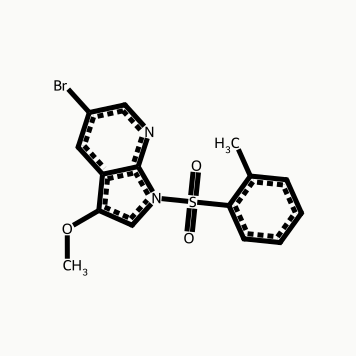 COc1cn(S(=O)(=O)c2ccccc2C)c2ncc(Br)cc12